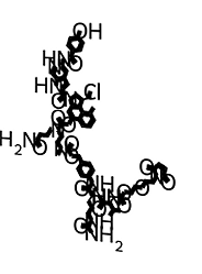 Cc1cccc2c(OC(=O)N(CCCC(N)=O)CCN(C)C(=O)OCc3ccc(NC(=O)[C@H](CCCNC(N)=O)NC(=O)[C@@H](NC(=O)OCCOCCN4C(=O)C=CC4=O)C(C)C)cc3)cc3c(c12)[C@H](CCl)CN3C(=O)c1cc2cc(NC(=O)c3ccc(O)cc3)ncc2[nH]1